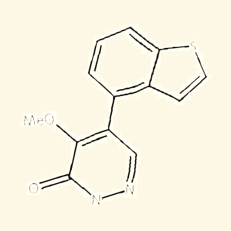 COC1=C(c2cccc3sccc23)C=N[N]C1=O